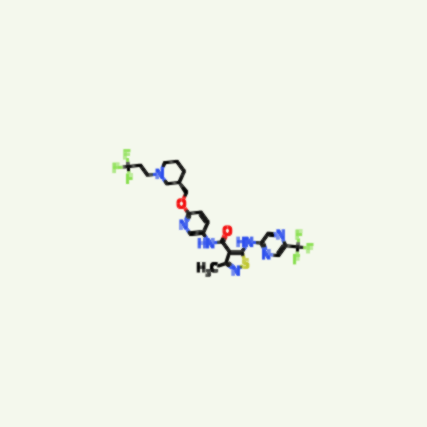 Cc1nsc(Nc2cnc(C(F)(F)F)cn2)c1C(=O)Nc1ccc(OC[C@@H]2CCCN(CCC(F)(F)F)C2)nc1